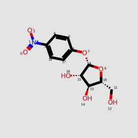 O=[N+]([O-])c1ccc(O[C@@H]2O[C@H](CO)[C@@H](O)[C@@H]2O)cc1